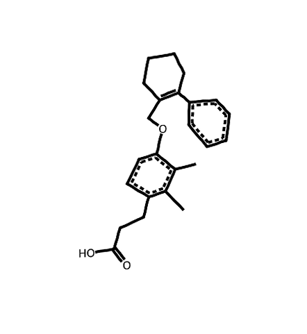 Cc1c(CCC(=O)O)ccc(OCC2=C(c3ccccc3)CCCC2)c1C